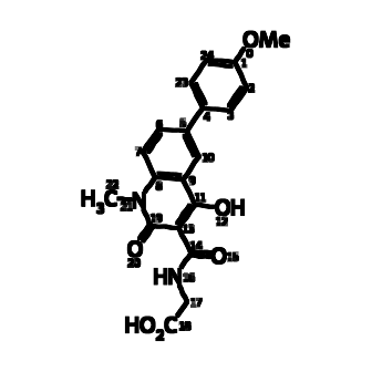 COc1ccc(-c2ccc3c(c2)c(O)c(C(=O)NCC(=O)O)c(=O)n3C)cc1